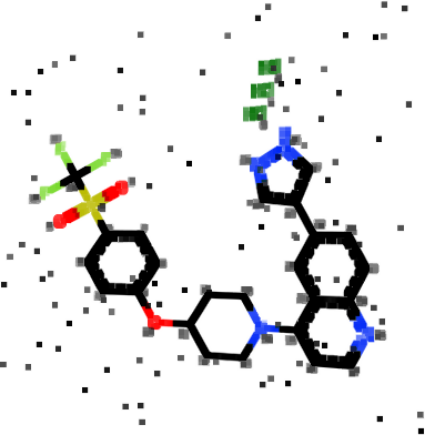 Cl.Cl.Cl.O=S(=O)(c1ccc(OC2CCN(c3ccnc4ccc(-c5cn[nH]c5)cc34)CC2)cc1)C(F)(F)F